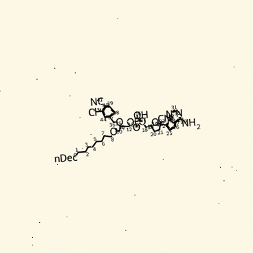 CCCCCCCCCCCCCCCCCCOC[C@H](COP(=O)(O)OC[C@@H]1CC[C@](C#N)(c2ccc3c(N)ncnn23)O1)OCc1ccc(C#N)c(Cl)c1